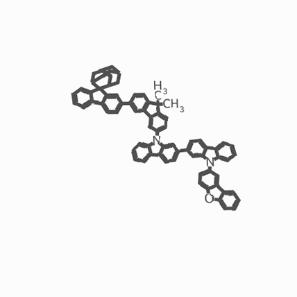 CC1(C)c2ccc(-c3ccc4c(c3)C3(c5ccccc5-4)C4CC5CC(C4)CC3C5)cc2-c2cc(-n3c4ccccc4c4ccc(-c5ccc6c7ccccc7n(-c7ccc8oc9ccccc9c8c7)c6c5)cc43)ccc21